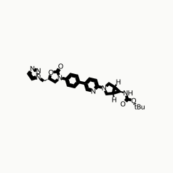 CC(C)(C)OC(=O)N[C@H]1[C@@H]2CN(c3ccc(-c4ccc(N5C[C@H](Cn6ccnn6)OC5=O)cc4)cn3)C[C@@H]21